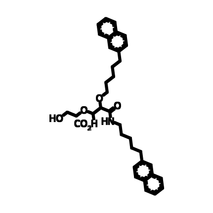 O=C(O)C(OCCO)C(OCCCCCc1ccc2ccccc2c1)C(=O)NCCCCCc1ccc2ccccc2c1